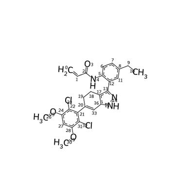 C=CC(=O)Nc1ccc(CC)cc1-c1n[nH]c2c1CCC(c1c(Cl)c(OC)cc(OC)c1Cl)=C2